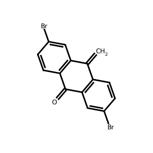 C=C1c2cc(Br)ccc2C(=O)c2cc(Br)ccc21